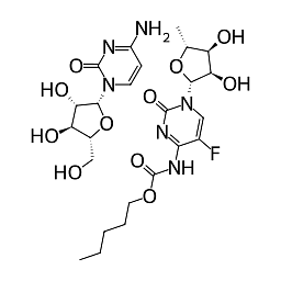 CCCCCOC(=O)Nc1nc(=O)n([C@@H]2O[C@H](C)[C@@H](O)[C@H]2O)cc1F.Nc1ccn([C@@H]2O[C@H](CO)[C@@H](O)[C@@H]2O)c(=O)n1